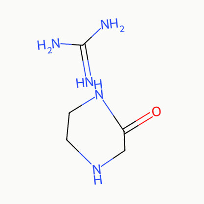 N=C(N)N.O=C1CNCCN1